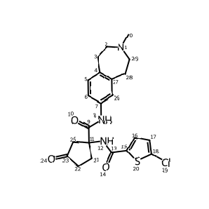 CN1CCc2ccc(NC(=O)C3(NC(=O)c4ccc(Cl)s4)CCC(=O)C3)cc2CC1